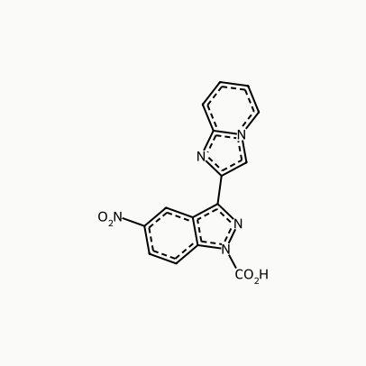 O=C(O)n1nc(-c2cn3ccccc3n2)c2cc([N+](=O)[O-])ccc21